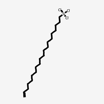 C=CCCCCCCCCCCCCCCCCCC[Si](Cl)(Cl)Cl